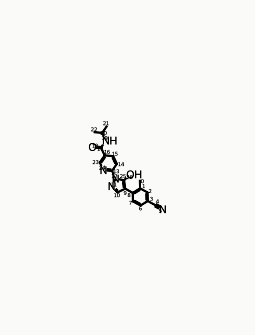 Cc1cc(C#N)ccc1-c1cnn(-c2ccc(C(=O)NC(C)C)cn2)c1O